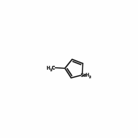 CC1=C[SeH2]C=C1